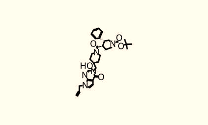 C#CCn1ccc2c(=O)n(CC3(O)CCN(C(=O)[C@@H]4CCN(C(=O)OC(C)(C)C)C[C@H]4c4ccccc4)CC3)cnc21